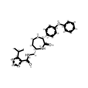 CC(C)c1nnsc1C(=O)NC[C@@H]1CCS[C@H](c2ccc(Oc3ccccc3)cc2)C(=O)N1